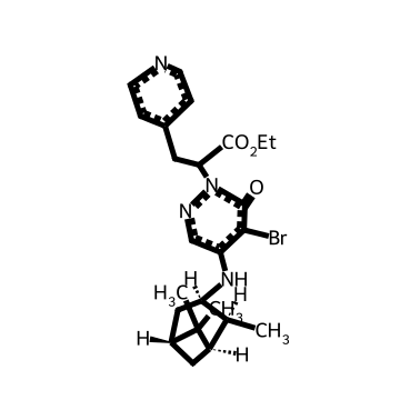 CCOC(=O)C(Cc1ccncc1)n1ncc(N[C@@H]2C[C@H]3C[C@H]([C@@H]2C)C3(C)C)c(Br)c1=O